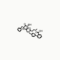 CCCCC(=O)N(CC(=O)N[C@@H](Cc1ccccc1)C(=O)NO)Cc1ccc(-c2ccccc2C(=O)O)cc1